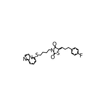 O=C1SC(=CCCc2ccc(F)cc2)C(=O)N1CCCCSc1cccc2nccn12